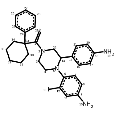 C=C(N1CCN(c2ccc(N)cc2I)C(c2ccc(N)cc2)C1)C1(c2ccccc2)CCCCC1